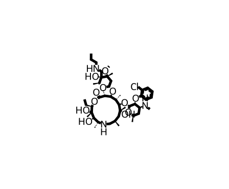 CCCNC[C@]1(O)[C@H](C)O[C@@H](O[C@H]2[C@H](C)[C@@H](O[C@@H]3O[C@H](C)C[C@H](NC)[C@H]3Oc3ccccc3Cl)[C@](C)(O)C[C@@H](C)CN[C@H](C)[C@@H](O)[C@](C)(O)[C@@H](CC)OC(=O)[C@@H]2C)C[C@@]1(C)OC